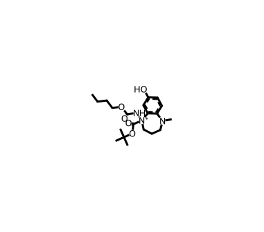 CCCCOC(=O)N[N+]1(C(=O)OC(C)(C)C)CCCN(C)c2ccc(O)cc21